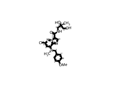 COc1ccc(CN(C)c2cc(Cl)nn3c(C(=O)NC[C@](C)(O)CO)cnc23)cc1